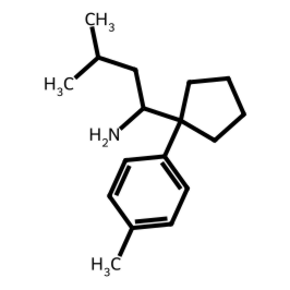 Cc1ccc(C2(C(N)CC(C)C)CCCC2)cc1